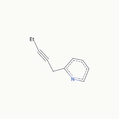 CCC#CCc1ccccn1